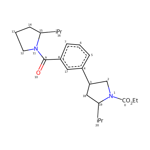 CCOC(=O)N1CC(c2cccc(C(=O)N3CCCC3C(C)C)c2)CC1C(C)C